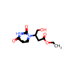 CCOC(=O)CC(CO)n1ccc(=O)[nH]c1=O